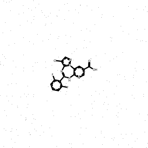 O=C(O)c1cnc2c(c1)-n1ncc(Cl)c1N=C(c1c(F)cccc1F)N2